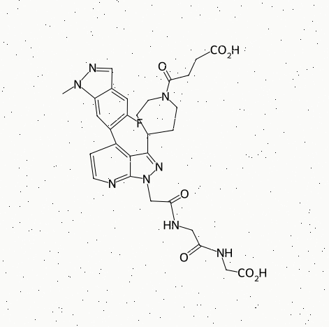 Cn1ncc2cc(F)c(-c3ccnc4c3c(C3CCN(C(=O)CCC(=O)O)CC3)nn4CC(=O)NCC(=O)NCC(=O)O)cc21